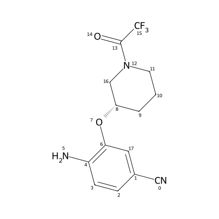 N#Cc1ccc(N)c(O[C@H]2CCCN(C(=O)C(F)(F)F)C2)c1